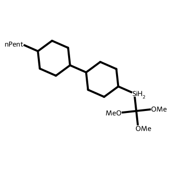 CCCCCC1CCC(C2CCC([SiH2]C(OC)(OC)OC)CC2)CC1